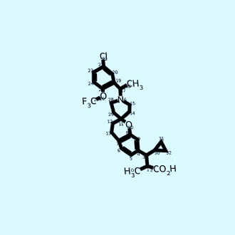 CC(C(=O)O)C(c1ccc2c(c1)OC1(CC2)CCN(C(C)c2cc(Cl)ccc2OC(F)(F)F)CC1)C1CC1